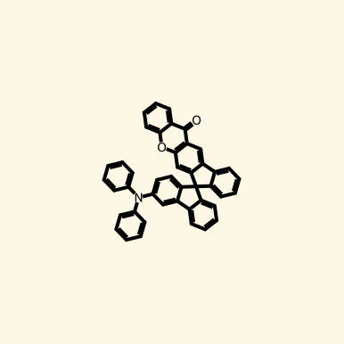 O=c1c2ccccc2oc2cc3c(cc12)-c1ccccc1C31c2ccccc2-c2cc(N(c3ccccc3)c3ccccc3)ccc21